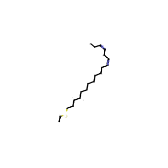 CC/C=C\C/C=C\CCCCCCCCCCCSCC